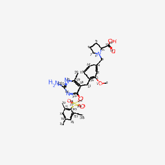 COc1cc(CN2CCCC2C(=O)O)ccc1Cc1c(C)nc(N)nc1OS(=O)(=O)c1c(C)cc(C)cc1C